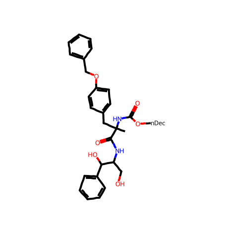 CCCCCCCCCCOC(=O)NC(C)(Cc1ccc(OCc2ccccc2)cc1)C(=O)NC(CO)C(O)c1ccccc1